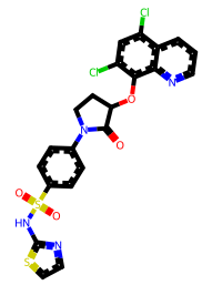 O=C1C(Oc2c(Cl)cc(Cl)c3cccnc23)CCN1c1ccc(S(=O)(=O)Nc2nccs2)cc1